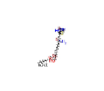 CCCCCCCC/C=C\CCCCCCCC(=O)OC[C@H](CO)OC(=O)CCCCCCCCCCC(N)C(=O)CCCC[C@@H]1SC[C@@H]2NC(=O)N[C@@H]21